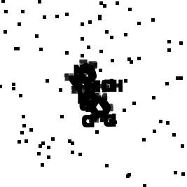 Cl.Clc1ccc2c(N[C@@H]3C4CCN(CC4)C34CC4)noc2c1Cl